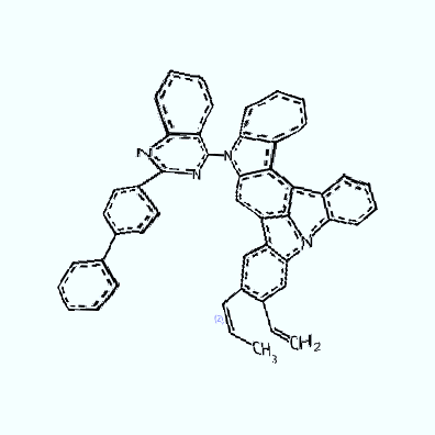 C=Cc1cc2c(cc1/C=C\C)c1cc3c(c4ccccc4n3-c3nc(-c4ccc(-c5ccccc5)cc4)nc4ccccc34)c3c4ccccc4n2c13